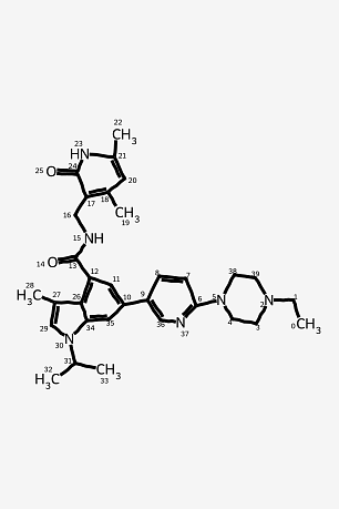 CCN1CCN(c2ccc(-c3cc(C(=O)NCc4c(C)cc(C)[nH]c4=O)c4c(C)cn(C(C)C)c4c3)cn2)CC1